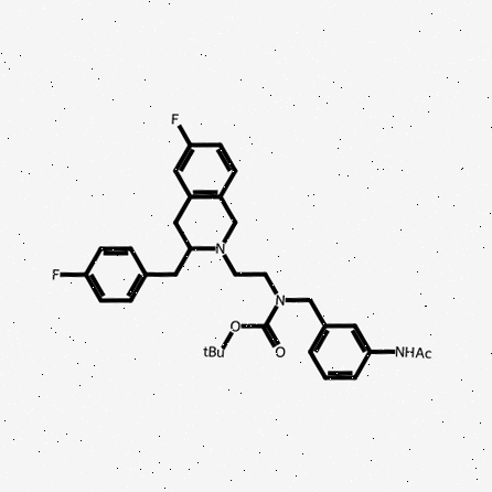 CC(=O)Nc1cccc(CN(CCN2Cc3ccc(F)cc3CC2Cc2ccc(F)cc2)C(=O)OC(C)(C)C)c1